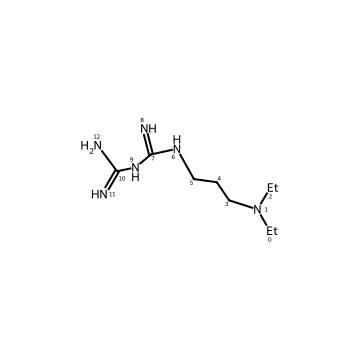 CCN(CC)CCCNC(=N)NC(=N)N